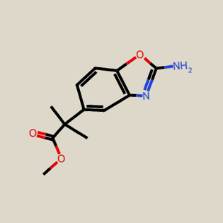 COC(=O)C(C)(C)c1ccc2oc(N)nc2c1